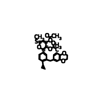 CS[C@@H]1[CH][C@@H](OC(C)=O)[C@H](OC(C)=O)[C@H](c2ccc(C3CC3)c(Cc3ccc4c(c3)OCCO4)c2)O1